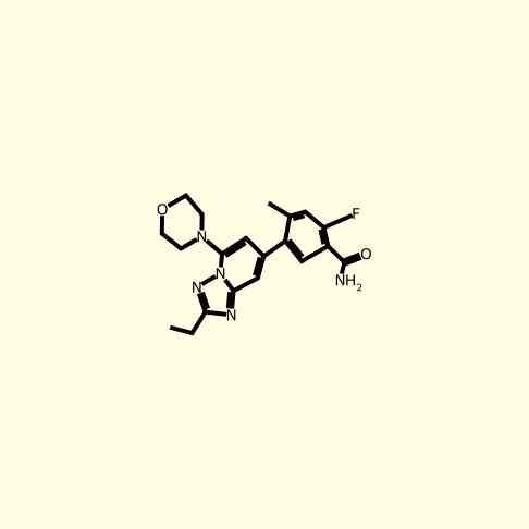 CCc1nc2cc(-c3cc(C(N)=O)c(F)cc3C)cc(N3CCOCC3)n2n1